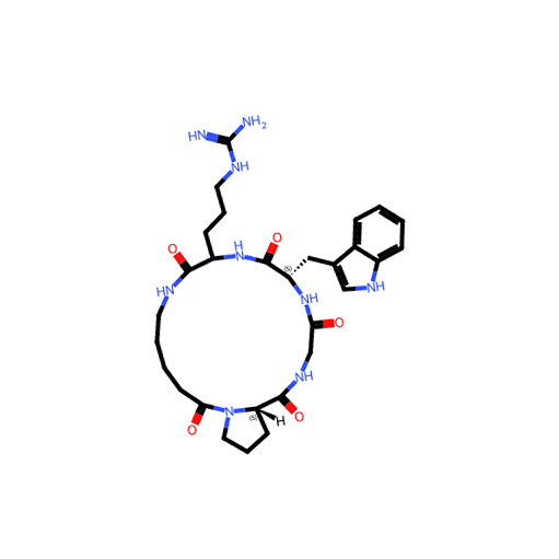 N=C(N)NCCCC1NC(=O)[C@H](Cc2c[nH]c3ccccc23)NC(=O)CNC(=O)[C@@H]2CCCN2C(=O)CCCCNC1=O